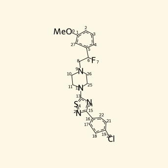 COc1cccc(C(F)CN2CCN(c3nc(-c4ccc(Cl)cc4)ns3)CC2)c1